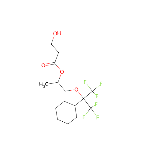 CC(COC(C1CCCCC1)(C(F)(F)F)C(F)(F)F)OC(=O)CCO